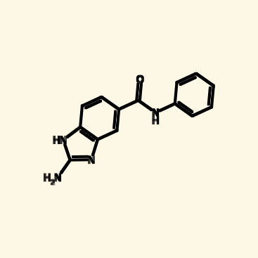 Nc1nc2cc(C(=O)Nc3ccccc3)ccc2[nH]1